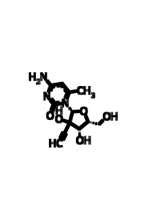 C#CC1(O)[C@@H](O)[C@@H](CO)O[C@H]1n1c(C)cc(N)nc1=O